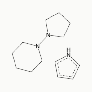 C1CCN(N2CCCC2)CC1.c1cc[nH]c1